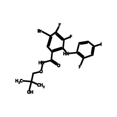 CC(C)(O)CONC(=O)c1cc(Br)c(F)c(F)c1Nc1ccc(I)cc1F